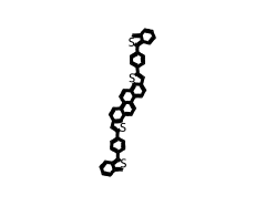 c1ccc2c(-c3ccc(-c4cc5ccc6c7ccc8c(ccc9cc(-c%10ccc(-c%11scc%12ccccc%11%12)cc%10)sc98)c7ccc6c5s4)cc3)scc2c1